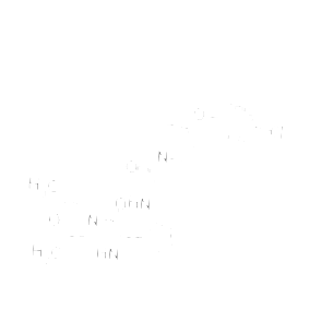 C[C@@H]1CN(C(=O)C(=N)C2=C(NCC(=O)N3CCC(Oc4ccc(Cl)cc4)CC3)CCC2)C[C@H](C)O1